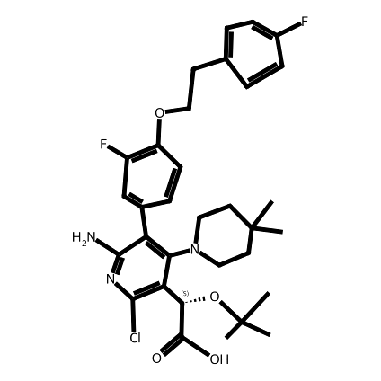 CC1(C)CCN(c2c(-c3ccc(OCCc4ccc(F)cc4)c(F)c3)c(N)nc(Cl)c2[C@H](OC(C)(C)C)C(=O)O)CC1